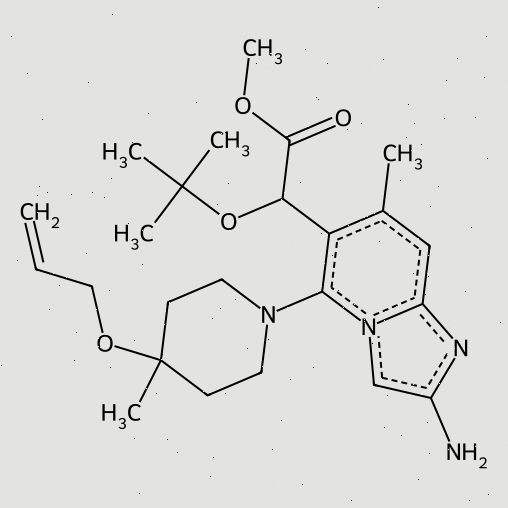 C=CCOC1(C)CCN(c2c(C(OC(C)(C)C)C(=O)OC)c(C)cc3nc(N)cn23)CC1